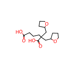 O=C(O)CCCC(CC1CCCO1)(CC1CCCO1)C(=O)O